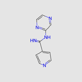 N=C(Nc1cnccn1)c1ccncc1